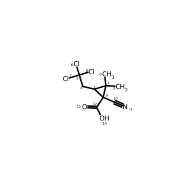 CC1(C)C(CC(Cl)(Cl)Cl)C1(C#N)C(=O)O